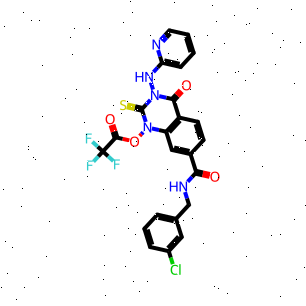 O=C(NCc1cccc(Cl)c1)c1ccc2c(=O)n(Nc3ccccn3)c(=S)n(OC(=O)C(F)(F)F)c2c1